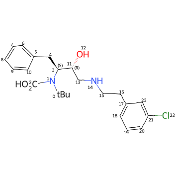 CC(C)(C)N(C(=O)O)[C@@H](Cc1ccccc1)[C@H](O)CNCCc1cccc(Cl)c1